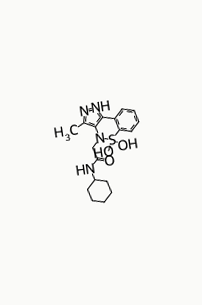 Cc1n[nH]c2c1N(CC(=O)NC1CCCCC1)S(O)(O)c1ccccc1-2